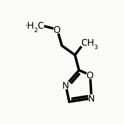 [CH2]OCC(C)c1ncno1